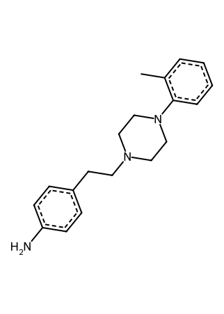 Cc1ccccc1N1CCN(CCc2ccc(N)cc2)CC1